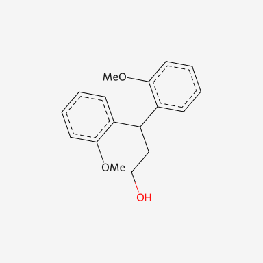 COc1ccccc1C(CCO)c1ccccc1OC